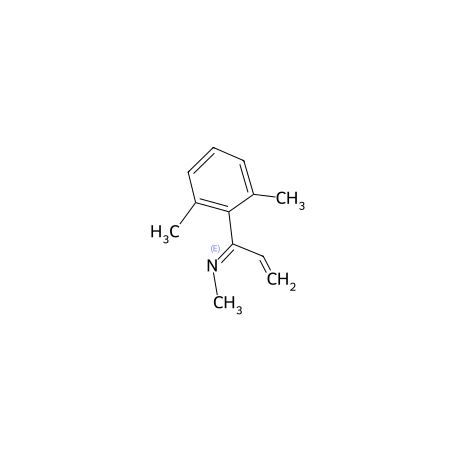 C=C/C(=N\C)c1c(C)cccc1C